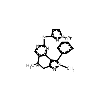 CCCn1ccc(Nc2ncc3c(n2)-c2c(nn(C)c2-c2ccccc2)C[C@H]3C)n1